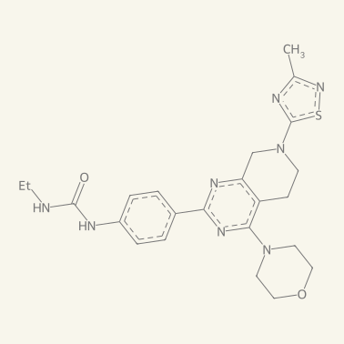 CCNC(=O)Nc1ccc(-c2nc3c(c(N4CCOCC4)n2)CCN(c2nc(C)ns2)C3)cc1